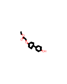 CCOC(=O)COc1ccc(-c2ccc(O)cc2)cc1